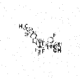 CCS(=O)(=O)c1cc2cc(C[C@](O)(CC(C)(C)c3ccc(F)cc3NP(=O)(O)O)C(F)(F)F)[nH]c2cn1